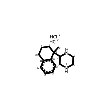 CC1(C2CNCCN2)CCCc2ccccc21.Cl.Cl